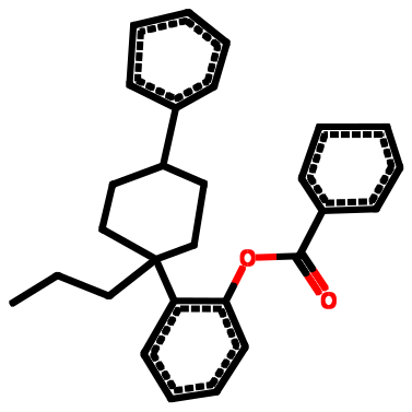 CCCC1(c2ccccc2OC(=O)c2ccccc2)CCC(c2ccccc2)CC1